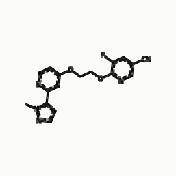 Cn1nccc1-c1cc(OCCOc2ncc(C#N)cc2F)ccn1